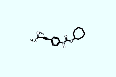 CC(C)C#Cc1ccc(NC(=O)OC2CCCCCCC2)cc1